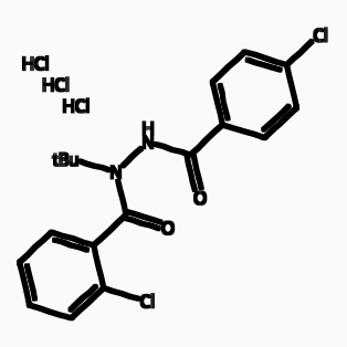 CC(C)(C)N(NC(=O)c1ccc(Cl)cc1)C(=O)c1ccccc1Cl.Cl.Cl.Cl